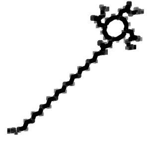 CC(C)(C)OC(=O)CN1CCN(CC(=O)NCCOCCOCCOCCOCCOCCOCCC(=O)O)CCN(CC(=O)OC(C)(C)C)CCN(CC(=O)OC(C)(C)C)CC1